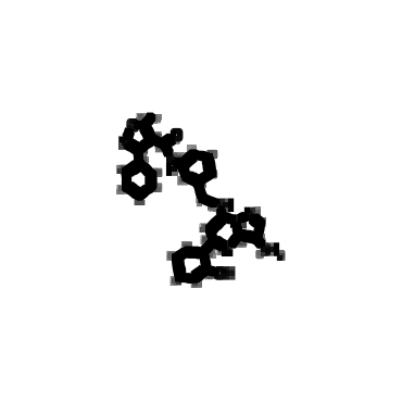 Bc1cnn2c(NCc3cccc(NC(=O)c4c(-c5ccccc5)noc4C)c3)cc(-c3ccccc3O)nc12